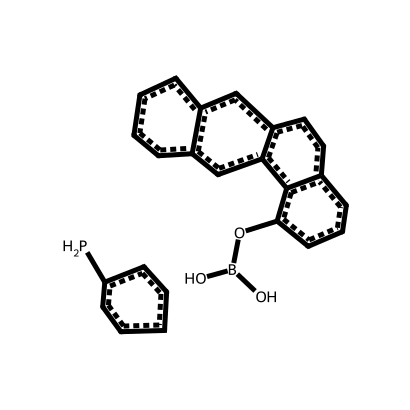 OB(O)Oc1cccc2ccc3cc4ccccc4cc3c12.Pc1ccccc1